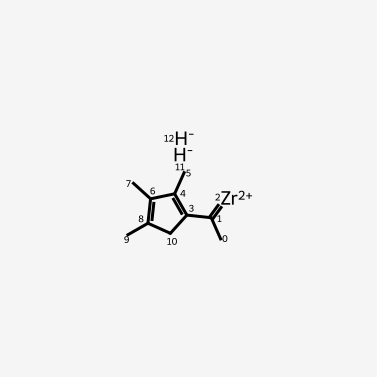 C[C](=[Zr+2])C1=C(C)C(C)=C(C)C1.[H-].[H-]